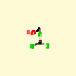 O.[Cl][Al]([Cl])[Cl].[Zr]